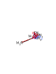 CCCCCCCCCCCCCCCCCCNC(=O)ON1C(C)=C(C2CN(C(C)=O)C2)C(C(=O)OC)=C(N)C1C